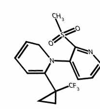 CS(=O)(=O)c1ncccc1N1CC=CC=C1C1(C(F)(F)F)CC1